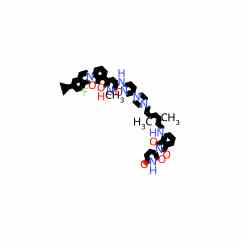 CC(CCNc1cccc2c1C(=O)N(C1CCC(=O)NC1=O)C2=O)CC(C)CCN1CCN(c2ccc(Nc3cc(-c4cccc(-n5ccc6cc(C7CC7)cc(F)c6c5=O)c4CO)cn(C)c3=O)nc2)CC1